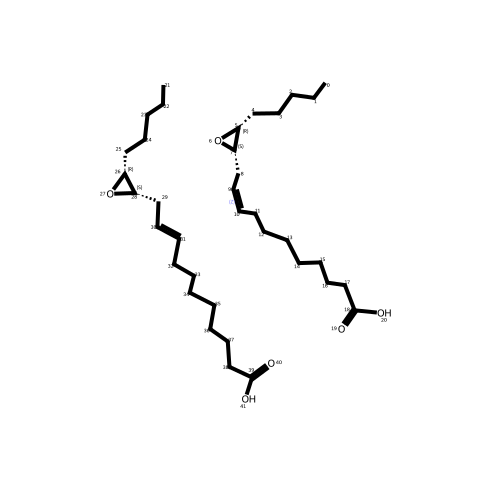 CCCCC[C@H]1O[C@H]1C/C=C\CCCCCCCC(=O)O.CCCCC[C@H]1O[C@H]1CC=CCCCCCCCC(=O)O